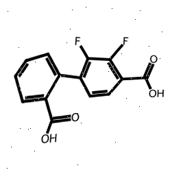 O=C(O)c1ccccc1-c1ccc(C(=O)O)c(F)c1F